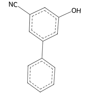 N#Cc1cc(O)cc(-c2ccccc2)c1